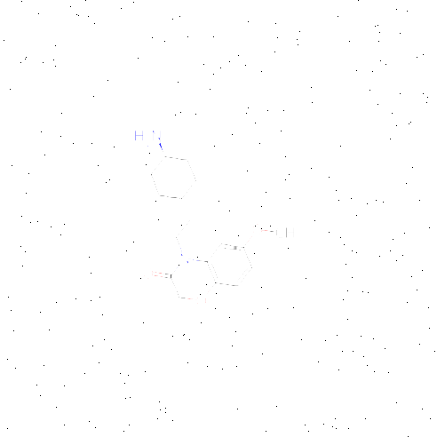 COc1ccc2c(c1)N(CC[C@H]1CC[C@H](N)CC1)C(=O)CO2